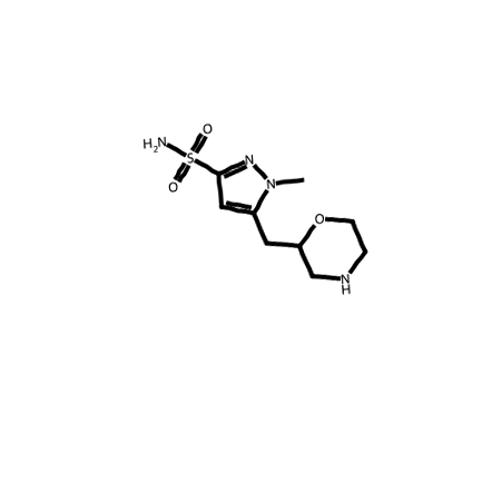 Cn1nc(S(N)(=O)=O)cc1CC1CNCCO1